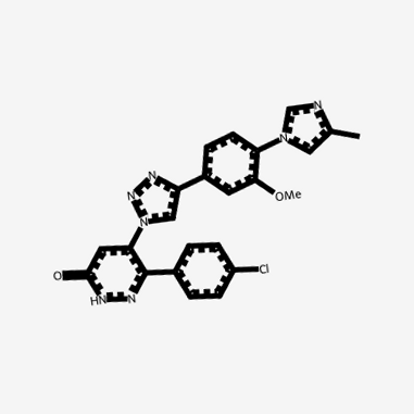 COc1cc(-c2cn(-c3cc(=O)[nH]nc3-c3ccc(Cl)cc3)nn2)ccc1-n1cnc(C)c1